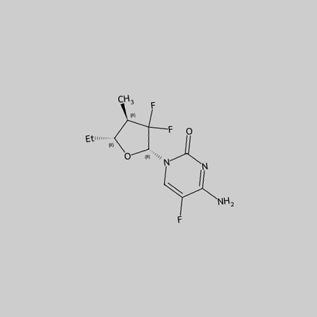 CC[C@H]1O[C@@H](n2cc(F)c(N)nc2=O)C(F)(F)[C@@H]1C